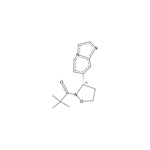 CC(C)(C)C(=O)N1OCC[C@H]1c1ccn2ccnc2c1